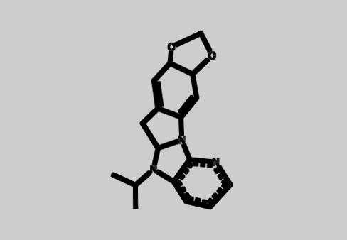 CC(C)N1c2cccnc2N2C3=CC4OCOC4C=C3CC21